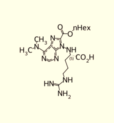 CCCCCCOC(=O)c1nc2c(N(C)C)ncnc2n1N[C@@H](CCCNC(=N)N)C(=O)O